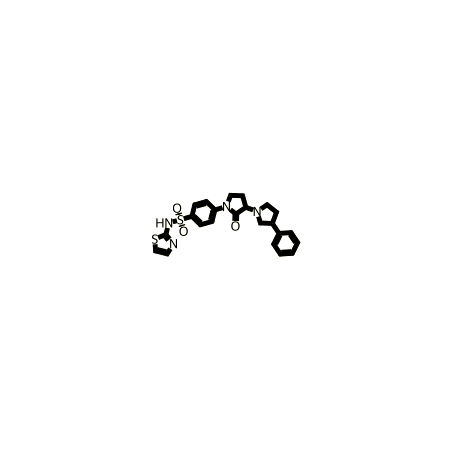 O=C1C(N2CCC(c3ccccc3)C2)CCN1c1ccc(S(=O)(=O)Nc2nccs2)cc1